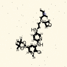 C/C=C(/C)CN(CCNc1ccc(Nc2cc(B3OC(C)(C)C(C)(C)O3)cn(C)c2=O)nc1)C1COC1